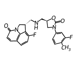 Cc1ccc(N2C[C@@H](CNC[C@H]3Cn4c(=O)ccc5ccc(F)c3c54)OC2=O)cc1F